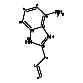 C=CCc1nc2c(N)cccc2[nH]1